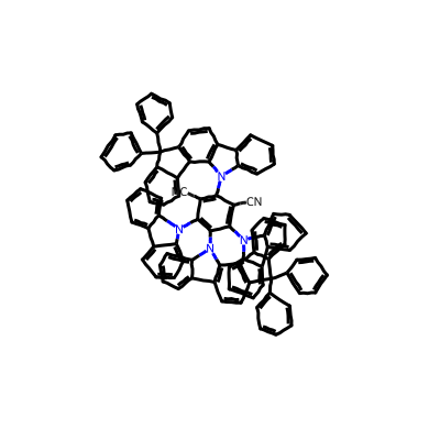 N#Cc1c(-n2c3ccccc3c3ccccc32)c(-n2c3ccccc3c3ccc4c(c32)-c2ccccc2C4(c2ccccc2)c2ccccc2)c(-n2c3ccccc3c3ccccc32)c(C#N)c1-n1c2ccccc2c2ccc3c(c21)-c1ccccc1C3(c1ccccc1)c1ccccc1